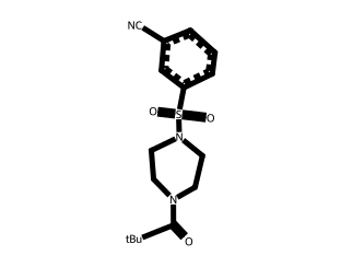 CC(C)(C)C(=O)N1CCN(S(=O)(=O)c2cccc(C#N)c2)CC1